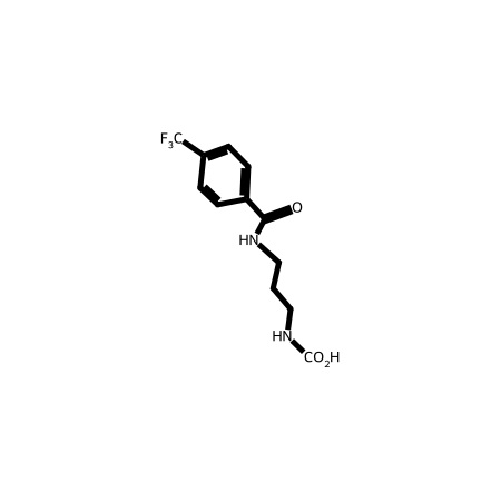 O=C(O)NCCCNC(=O)c1ccc(C(F)(F)F)cc1